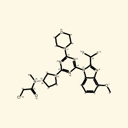 COc1cccc2c1nc(C(F)F)n2-c1nc(N2CCOCC2)nc(N2CC[C@H](N(C)C(=O)CCl)C2)n1